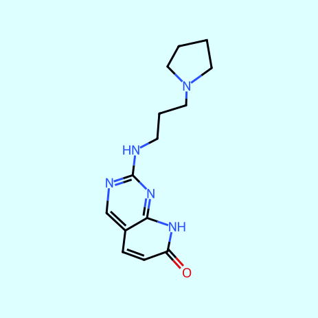 O=c1ccc2cnc(NCCCN3CCCC3)nc2[nH]1